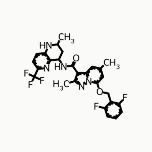 Cc1cc(OCc2c(F)cccc2F)n2nc(C)c(C(=O)NC3CC(C)Nc4ccc(C(F)(F)F)nc43)c2c1